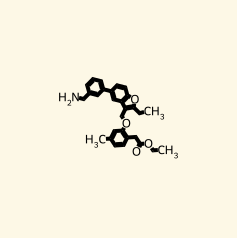 CCOC(=O)Cc1ccc(C)cc1OCc1c(CC)oc2ccc(-c3cccc(CN)c3)cc12